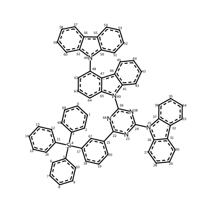 c1ccc([Si](c2ccccc2)(c2ccccc2)c2cccc(-c3nc(-n4c5ccccc5c5ccccc54)nc(-n4c5ccccc5c5c(-n6c7ccccc7c7ccccc76)cccc54)n3)c2)cc1